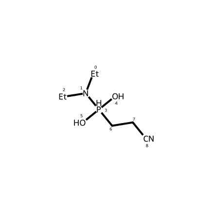 CCN(CC)[PH](O)(O)CCC#N